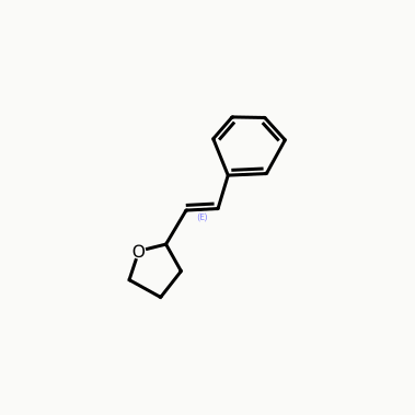 C(=C\C1CCCO1)/c1ccccc1